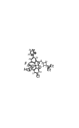 CCN(CC)C1CC(CN2C(=O)C(O)(c3ccc(Cl)cc3Cl)c3c2cc(-n2ccnn2)cc3C(F)(F)F)C1.Cl